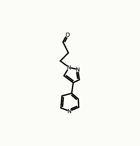 O=CCCn1cc(-c2ccncc2)cn1